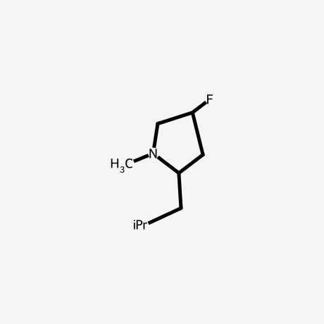 CC(C)CC1CC(F)CN1C